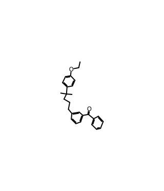 CCOc1ccc(C(C)(C)CCCc2cccc(C(=O)c3ccccc3)c2)cc1